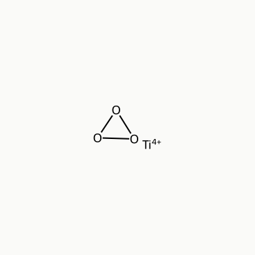 [Ti+4].o1oo1